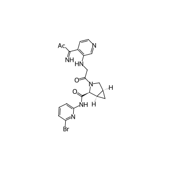 CC(=O)C(=N)c1ccncc1NCC(=O)N1C[C@H]2C[C@H]2[C@H]1C(=O)Nc1cccc(Br)n1